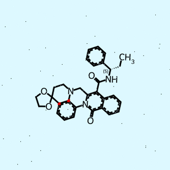 CC[C@H](NC(=O)c1c(CN2CCC3(CC2)OCCO3)n(-c2ccccc2)c(=O)c2ccccc12)c1ccccc1